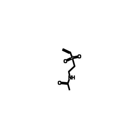 C=CS(=O)(=O)CCNC(C)=O